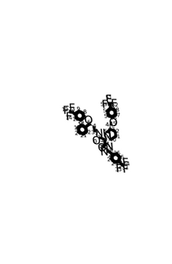 O=C(NCC[C@@H](Oc1ccc(C(F)(F)F)cc1)c1ccccc1)C(c1nc(-c2ccc(C(F)(F)F)cc2)no1)N1CCC[C@@H](COc2ccc(C(F)(F)F)cc2)C1